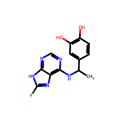 CC(Nc1ncnc2[nH]c(F)nc12)c1ccc(O)c(O)c1